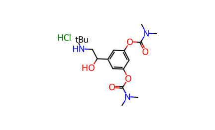 CN(C)C(=O)Oc1cc(OC(=O)N(C)C)cc(C(O)CNC(C)(C)C)c1.Cl